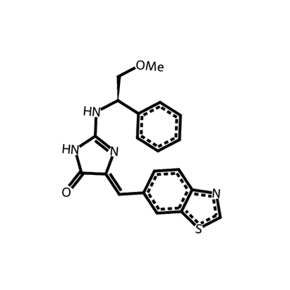 COC[C@H](NC1=N/C(=C\c2ccc3ncsc3c2)C(=O)N1)c1ccccc1